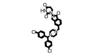 O=C1CCN(N2Cc3cc(CN4CCN(C(c5ccc(Cl)cc5)c5ccc(Cl)cc5)CC4)ccc3C2=O)C(=O)N1